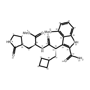 COC(=O)[C@H](C[C@@H]1CCNC1=O)NC(=O)[C@@H](CC1CCC1)c1c(C(N)=O)[nH]c2cccc(OC)c12